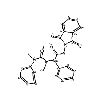 CC(C(=O)N(C)c1ccccc1)N(C(=O)CN1C(=O)c2ccccc2C1=O)c1ccccc1